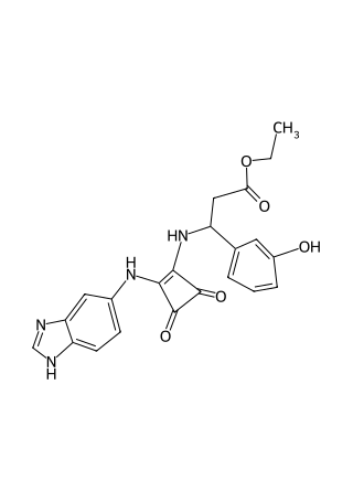 CCOC(=O)CC(Nc1c(Nc2ccc3[nH]cnc3c2)c(=O)c1=O)c1cccc(O)c1